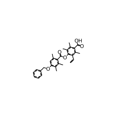 C=Cc1c(C)c(C(=O)O)c(C)c(C)c1OC(=O)c1c(C)cc(OCc2ccccc2)c(C)c1C